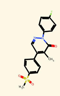 Cc1c(-c2ccc(S(C)(=O)=O)cc2)cnn(-c2ccc(F)cc2)c1=O